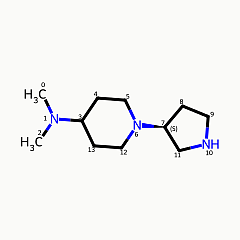 CN(C)C1CCN([C@H]2CCNC2)CC1